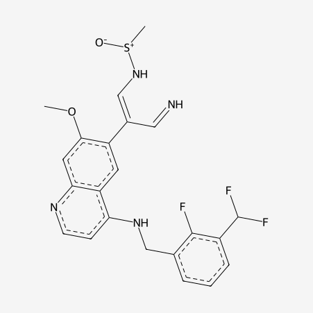 COc1cc2nccc(NCc3cccc(C(F)F)c3F)c2cc1/C(C=N)=C/N[S+](C)[O-]